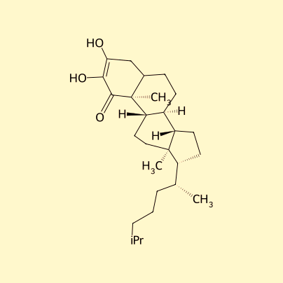 CC(C)CCC[C@@H](C)[C@H]1CC[C@H]2[C@@H]3CCC4CC(O)=C(O)C(=O)[C@]4(C)[C@H]3CC[C@]12C